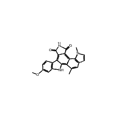 COc1ccc2c(c1)[nH]c1c2c2c(c3c1c(C)cc1ccn(C)c13)C(=O)NC2=O